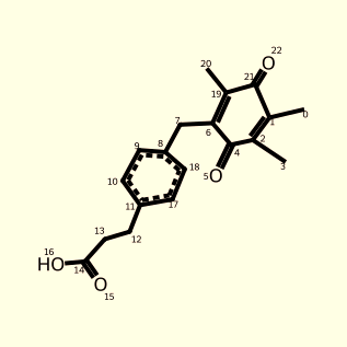 CC1=C(C)C(=O)C(Cc2ccc(CCC(=O)O)cc2)=C(C)C1=O